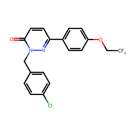 O=c1ccc(-c2ccc(OCC(F)(F)F)cc2)nn1Cc1ccc(Cl)cc1